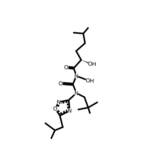 CC(C)CC[C@H](O)C(=O)N(O)C(=O)N(CC(C)(C)C)c1noc(CC(C)C)n1